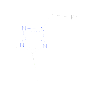 CC(C)Cn1nnc(F)n1